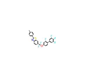 Cc1ccc(-c2nc3ccc(C(F)(F)Oc4ccc(-c5cc(F)c(F)c(F)c5)c(F)c4)cc3s2)cc1